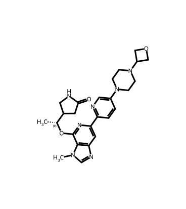 C[C@@H](Oc1nc(-c2ccc(N3CCN(C4COC4)CC3)cn2)cc2ncn(C)c12)C1CNC(=O)C1